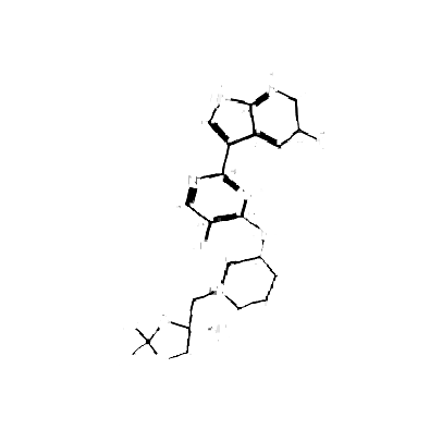 CC1(C)OC[C@](N)(CN2CCC[C@H](Nc3nc(-c4c[nH]c5c4=CC(Cl)CN=5)ncc3F)C2)O1